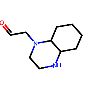 O=CCN1CCNC2CCCCC21